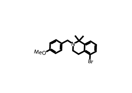 COc1ccc(CN2CCc3c(Br)cccc3C2(C)C)cc1